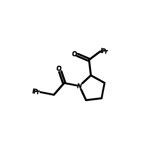 CC(C)CC(=O)N1CCCC1C(=O)C(C)C